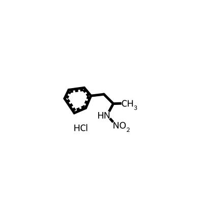 CC(Cc1ccccc1)N[N+](=O)[O-].Cl